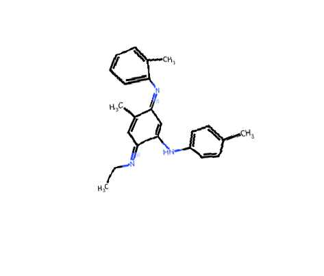 CC/N=C1C=C(C)/C(=N\c2ccccc2C)C=C\1Nc1ccc(C)cc1